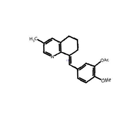 COc1ccc(/C=C2\CCCc3cc(C)cnc32)cc1OC(C)=O